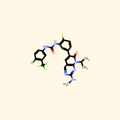 CNc1ncc2cc(-c3ccc(F)c(NC(=O)Nc4ccc(Cl)c(C(F)(F)F)c4)c3)c(=O)n(C(C)C)c2n1